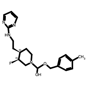 Cc1ccc(COC(O)N2CC[C@H](CCNc3ncccn3)[C@H](F)C2)cc1